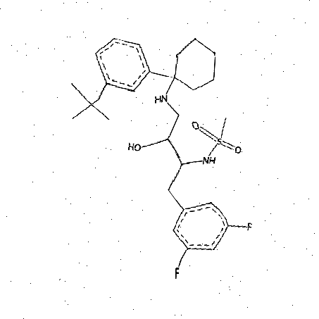 CC(C)(C)c1cccc(C2(NCC(O)C(Cc3cc(F)cc(F)c3)NS(C)(=O)=O)CCCCC2)c1